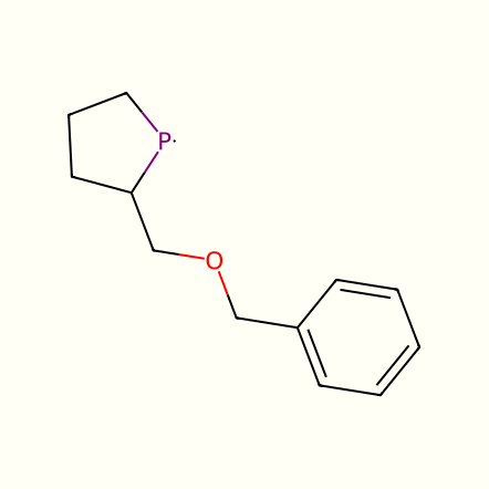 c1ccc(COCC2CCC[P]2)cc1